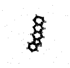 c1cnc2c(c1)Cc1nc3c(cc1=N2)N=c1ccccc1=3